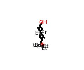 CCC(CC)(c1ccc(CCO)c(C)c1)c1ccc(CCC(O[Si](CC)(CC)CC)C(C)(C)C)c(C)c1